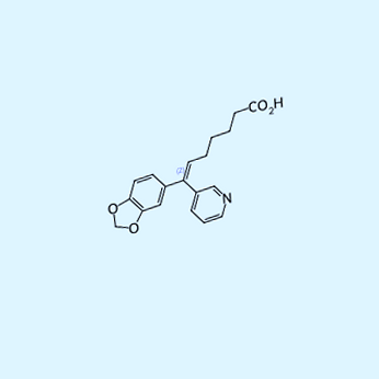 O=C(O)CCCC/C=C(\c1cccnc1)c1ccc2c(c1)OCO2